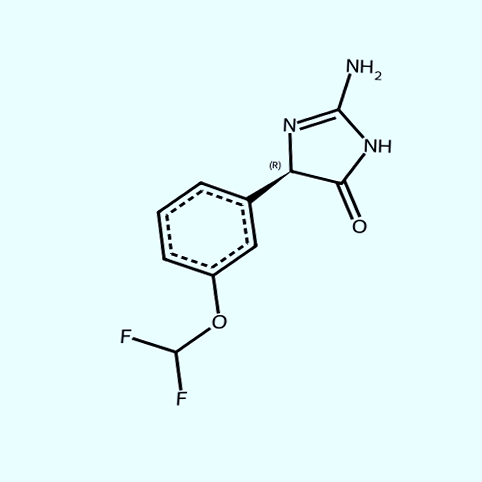 NC1=N[C@H](c2cccc(OC(F)F)c2)C(=O)N1